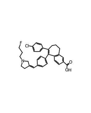 O=C(O)c1ccc2c(c1)CCCC(c1ccc(Cl)cc1)=C2c1ccc(C=C2CCN(CCCF)C2)cc1